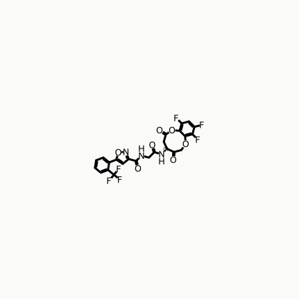 O=C(CNC(=O)c1cc(-c2ccccc2C(F)(F)F)on1)N[C@H]1CC(=O)Oc2c(F)cc(F)c(F)c2OCC1=O